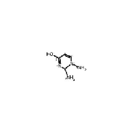 NC1N=C(O)C=CN1N